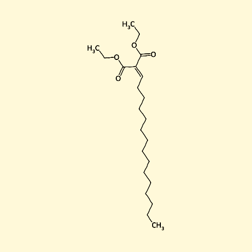 CCCCCCCCCCCCCCC=C(C(=O)OCC)C(=O)OCC